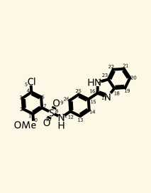 COc1ccc(Cl)cc1S(=O)(=O)Nc1ccc(-c2nc3ccccc3[nH]2)cc1